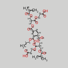 C=CCOC(=O)c1cc(C(=O)OCC(COC(=O)C(=C)C)C(=O)OCCC(=O)O)ccc1C(=O)OCC(COC(=O)C(=C)C)C(=O)OCCC(=O)O